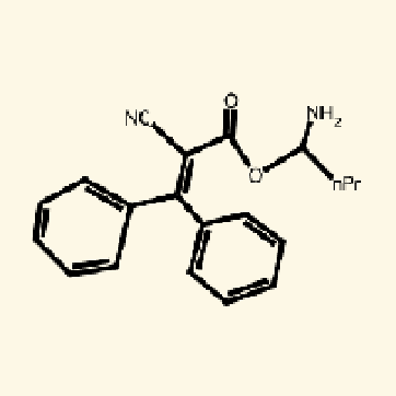 CCCC(N)OC(=O)C(C#N)=C(c1ccccc1)c1ccccc1